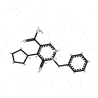 CC(=O)c1cnn(Cc2ccccc2)c(=O)c1C1CCCC1